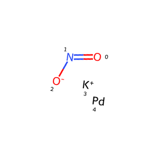 O=N[O-].[K+].[Pd]